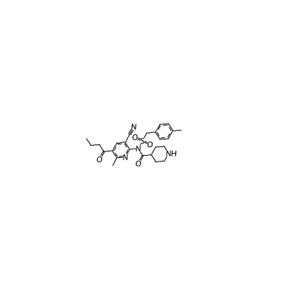 CCCC(=O)c1cc(C#N)c(N(C(=O)C2CCNCC2)S(=O)(=O)Cc2ccc(C)cc2)nc1C